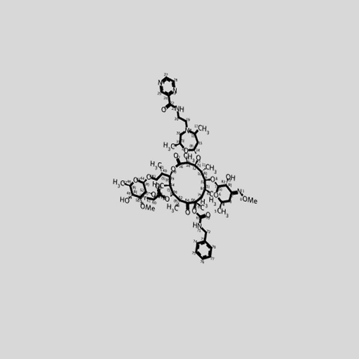 CON=C1C[C@@H](C)O[C@@H](O[C@@H]2[C@@H](C)[C@H](O[C@H]3CC(C)N(CCNC(=O)c4cnccn4)C[C@H](C)O3)[C@@H](C)C(=O)O[C@H]([C@@H](C)CO[C@@H]3O[C@H](C)[C@@H](O)[C@@H](OC)[C@H]3OC)[C@H](C)[C@@H](OC(=O)CC(C)C)[C@@H](C)C(=O)[C@@](C)(OC(=O)NCc3ccccc3)C[C@@H]2C)[C@@H]1O